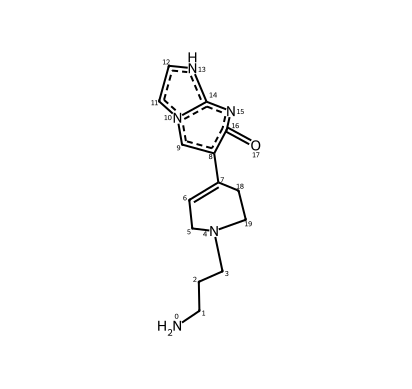 NCCCN1CC=C(c2cn3cc[nH]c3nc2=O)CC1